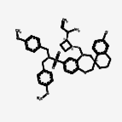 C=CC(N)[C@@H]1CC[C@H]1CN1C[C@@]2(CCCc3cc(Cl)ccc32)COc2ccc(S(=O)(=O)N(Cc3ccc(OC)cc3)Cc3ccc(OC)cc3)cc21